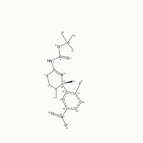 CC1CSC(NC(=O)OC(C)(C)C)=N[C@]1(C)c1cc([N+](=O)[O-])ccc1F